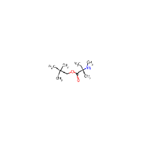 CNC(C)(C)C(=O)OCC(C)(C)C